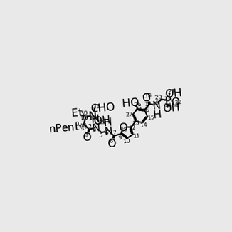 CCCCC[C@@H](C(=O)NCNC(=O)c1ccc(-c2ccc(C(=O)NCP(=O)(O)O)c(O)c2)o1)[C@@H](CC)N(O)C=O